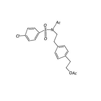 CC(=O)OCCc1ccc(CCN(C(C)=O)S(=O)(=O)c2ccc(Cl)cc2)cc1